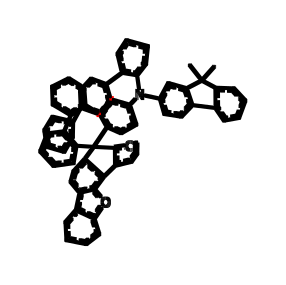 CC1(C)c2ccccc2-c2ccc(N(c3ccc4c(c3)-c3ccccc3-c3ccccc3C43c4ccccc4-c4c3ccc3c4oc4ccccc43)c3ccccc3-c3ccc(-c4ccccc4)cc3)cc21